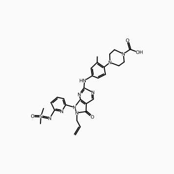 C=CCn1c(=O)c2cnc(Nc3ccc(N4CCN(C(=O)O)CC4)c(C)c3)nc2n1-c1cccc(N=S(C)(C)=O)n1